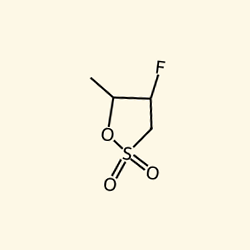 CC1OS(=O)(=O)CC1F